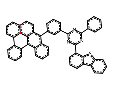 c1ccc(-c2nc(-c3cccc(-c4c5ccccc5c(-c5ccccc5-c5ccccc5)c5ccccc45)c3)nc(-c3cccc4c3sc3ccccc34)n2)cc1